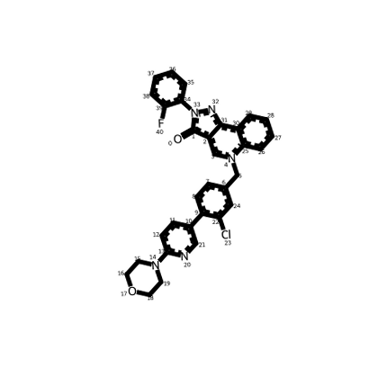 O=c1c2cn(Cc3ccc(-c4ccc(N5CCOCC5)nc4)c(Cl)c3)c3ccccc3c-2nn1-c1ccccc1F